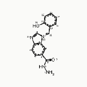 NNC(=O)c1ccc2c(c1)[N+](=Cc1ccccc1O)C=N2